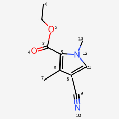 CCOC(=O)c1c(C)c(C#N)cn1C